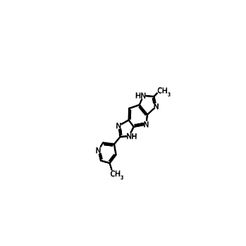 Cc1cncc(-c2nc3cc4[nH]c(C)nc4nc3[nH]2)c1